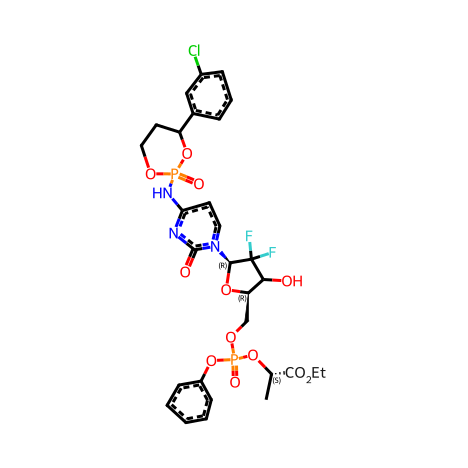 CCOC(=O)[C@H](C)OP(=O)(OC[C@H]1O[C@@H](n2ccc(NP3(=O)OCCC(c4cccc(Cl)c4)O3)nc2=O)C(F)(F)C1O)Oc1ccccc1